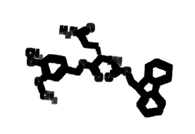 COc1ccc(COC(=O)[C@H](CCC(N)=O)NC(=O)OCC2c3ccccc3-c3ccccc32)cc1OC